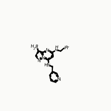 Bc1cnn2c(NCc3cccnc3)cc(NCC(C)C)nc12